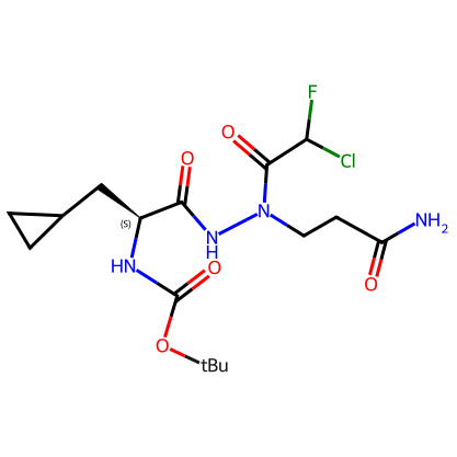 CC(C)(C)OC(=O)N[C@@H](CC1CC1)C(=O)NN(CCC(N)=O)C(=O)C(F)Cl